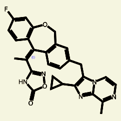 C/C(=C1/c2ccc(Cc3c(C4CC4)nc4c(C)nccn34)cc2COc2cc(F)ccc21)c1noc(=O)[nH]1